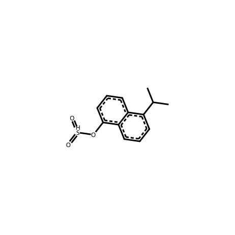 CC(C)c1cccc2c(O[SH](=O)=O)cccc12